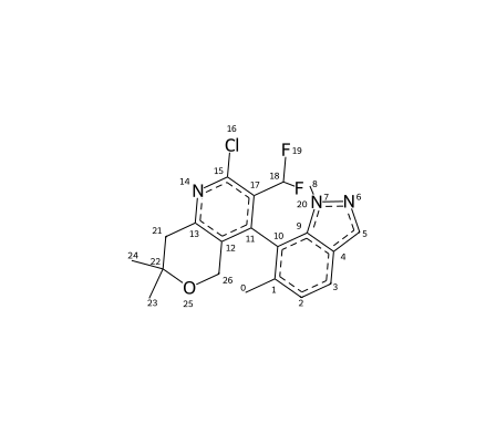 Cc1ccc2cnn(C)c2c1-c1c2c(nc(Cl)c1C(F)F)CC(C)(C)OC2